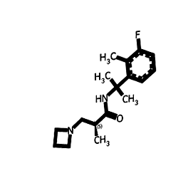 Cc1c(F)cccc1C(C)(C)NC(=O)[C@@H](C)CN1CCC1